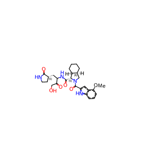 COc1cccc2[nH]c(C(=O)N3C[C@@H]4CCCC[C@@H]4[C@H]3C(=O)NC(C[C@@H]3CCNC3=O)C(=O)CO)cc12